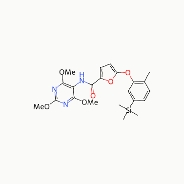 COc1nc(OC)c(NC(=O)c2ccc(Oc3cc([Si](C)(C)C)ccc3C)o2)c(OC)n1